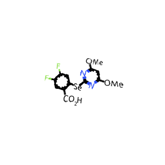 COc1cc(OC)nc([Se]c2cc(F)c(F)cc2C(=O)O)n1